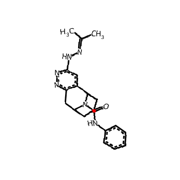 CC(C)=NNc1cc2c(nn1)CC1CCCC2N1C(=O)Nc1ccccc1